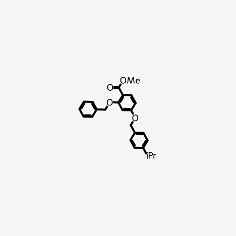 COC(=O)c1ccc(OCc2ccc(C(C)C)cc2)cc1OCc1ccccc1